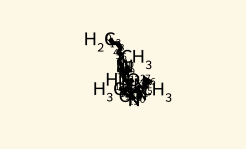 C=C/C=C\C=C(/C)Cn1cc(NC(=O)c2c(C)oc3ncnc(NC4(C)CC4)c23)cn1